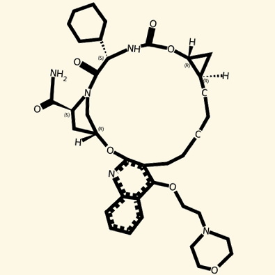 NC(=O)[C@@H]1C[C@@H]2CN1C(=O)[C@H](C1CCCCC1)NC(=O)O[C@@H]1C[C@H]1CCCCCc1c(nc3ccccc3c1OCCN1CCOCC1)O2